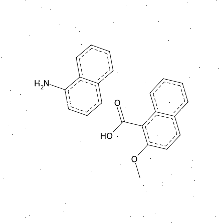 COc1ccc2ccccc2c1C(=O)O.Nc1cccc2ccccc12